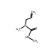 C=CCN(C)C(=S)NC